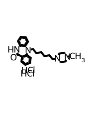 CN1CCN(CCCCCCN2c3ccccc3NC(=O)c3ccccc32)CC1.Cl.Cl